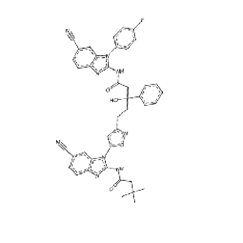 CC(C)(C)CC(=O)Nc1nc2ccc(C#N)cc2n1-c1cc(CCC(O)(CC(=O)Nc2nc3ccc(C#N)cc3n2-c2ccc(F)cc2)c2ccccc2)no1